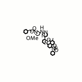 COC1CC(Nc2nccc(-c3cccnc3Oc3c(C)ccc4c(N(c5ccccc5)S(C)(=O)=O)cccc34)n2)CN(C(=O)OCc2ccccc2)C1